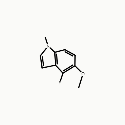 COc1ccc2c(ccn2C)c1F